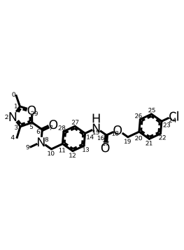 Cc1nc(C)c(C(=O)N(C)Cc2ccc(NC(=O)OCc3ccc(Cl)cc3)cc2)o1